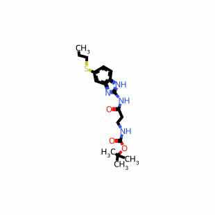 CCCSc1ccc2[nH]c(NC(=O)CCNC(=O)OC(C)(C)C)nc2c1